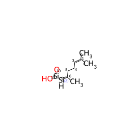 CC(C)=CCC/C(C)=[SiH]\[Si](=O)O